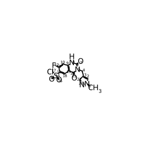 Cn1cc(Cn2c(=O)[nH]c3cc(F)c(S(=O)(=O)Cl)cc3c2=O)cn1